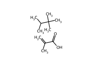 C=C(C)C(=O)O.CC(C)C(C)(C)C